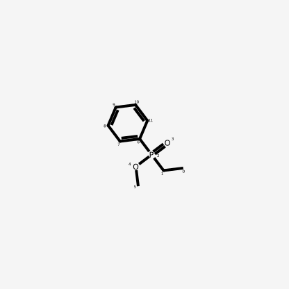 CCP(=O)(OC)c1ccccc1